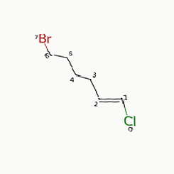 ClC=CCCCCBr